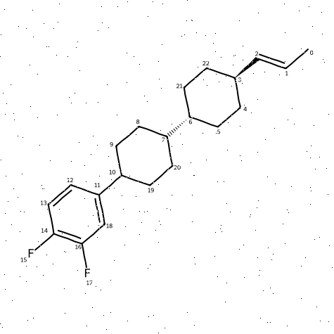 C/C=C/[C@H]1CC[C@H](C2CCC(c3ccc(F)c(F)c3)CC2)CC1